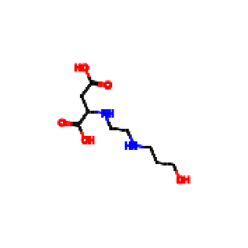 O=C(O)CC(NCCNCCCO)C(=O)O